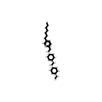 CCCCCCCc1ccc(CC[C@H]2CC[C@H](CC[C@H]3CC[C@H](CC)CC3)CC2)nc1